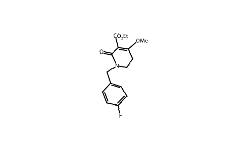 CCOC(=O)C1=C(OC)CCN(Cc2ccc(F)cc2)C1=O